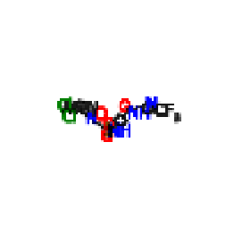 CNC(=O)N(CCCS(=O)(=O)Nc1ccc(C(=O)NCc2ccc(C(F)(F)F)nc2)cc1)Cc1cccc(Cl)c1Cl